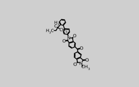 CCC(C)(C)c1ccccc1-c1ccc(N2C(=O)c3ccc(C(=O)c4ccc5c(c4)C(=O)N(C)C5=O)cc3C2=O)cc1